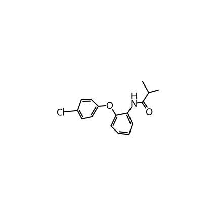 CC(C)C(=O)Nc1ccccc1Oc1ccc(Cl)cc1